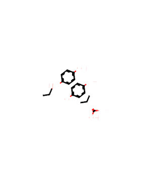 CCC.CCC.O=C(O)O.Oc1ccc(O)cc1.Oc1ccc(O)cc1